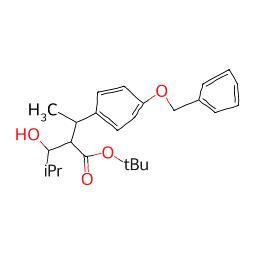 CC(C)C(O)C(C(=O)OC(C)(C)C)C(C)c1ccc(OCc2ccccc2)cc1